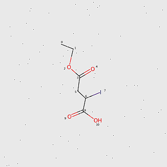 CCOC(=O)CC(I)C(=O)O